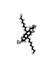 CCCCCCCCc1c2cc(Br)sc2cc2c(CCCCCCCC)c3cc(Br)sc3cc12